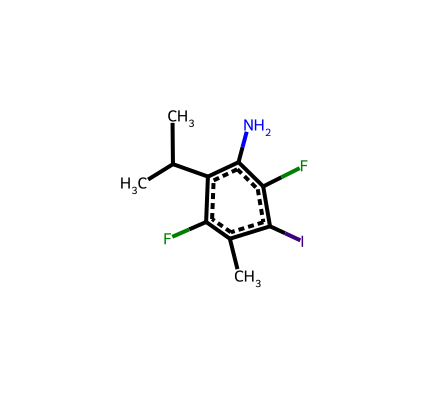 Cc1c(F)c(C(C)C)c(N)c(F)c1I